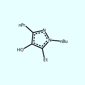 CCCCn1nc(CCC)c(O)c1CC